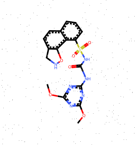 COc1nc(NC(=O)NS(=O)(=O)c2cccc3ccc4c(c23)ONC4)nc(OC)n1